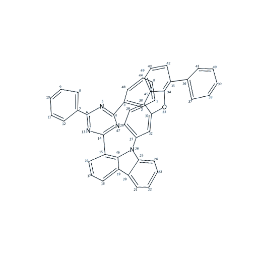 c1ccc(-c2nc(-c3ccccc3)nc(-c3cccc4c5ccccc5n(-c5ccc6c(c5)oc5c(-c7ccccc7)cccc56)c34)n2)cc1